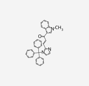 Cn1cc(C(=O)C=Cc2nccn2C(c2ccccc2)(c2ccccc2)c2ccccc2)c2ccccc21